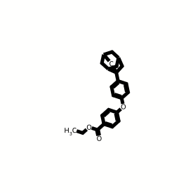 CCOC(=O)c1ccc(Oc2ccc(C34CC5CC(CC3C5)C4)cc2)cc1